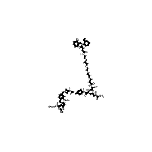 C=Cc1ccccc1N(Cc1ccccc1CC)C(=O)CCC(=O)NCCOCCOCCOCCOCCC(=O)N[C@H](C(=O)N[C@@H](CCCNC(N)=O)C(=O)Nc1ccc(COC(=O)NC2CN(Cc3ccc(Cn4ccc5nc(N)nc(NCCCCC)c54)c(OC)c3)C2)cc1)C(C)C